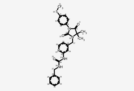 CC1(C)C(=O)N(c2ccc(SC(F)(F)F)cc2)C(=O)N1Cc1ccnc(NC(=O)NCc2ccccc2)c1